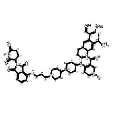 CN/C=C(\C=N)C1=CC2CCCN(C(=N)C3=C(NC4CCN(C5CCN(CCCOc6cccc7c6C(=O)N(C6CCC(=O)NC6=O)C7=O)CC5)CC4)CCN(C(C)=O)C3)C2C=C1C(C)F